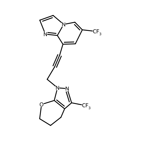 FC(F)(F)c1cc(C#CCn2nc(C(F)(F)F)c3c2OCCC3)c2nccn2c1